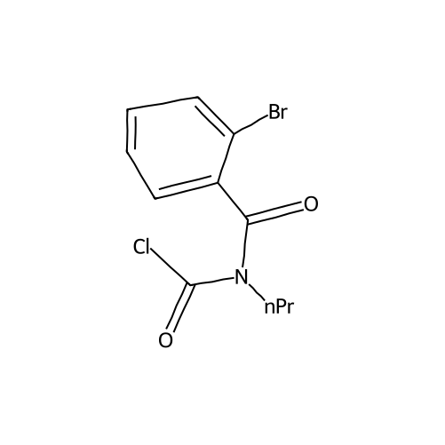 CCCN(C(=O)Cl)C(=O)c1ccccc1Br